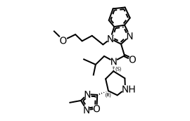 COCCCCn1c(C(=O)N(CC(C)C)[C@@H]2CNC[C@H](c3nc(C)no3)C2)nc2ccccc21